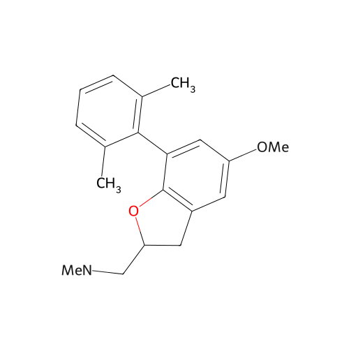 CNCC1Cc2cc(OC)cc(-c3c(C)cccc3C)c2O1